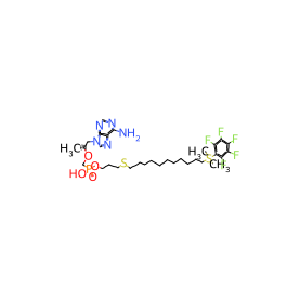 C[C@H](Cn1cnc2c(N)ncnc21)OCP(=O)(O)OCCCSCCCCCCCCCCCS(C)(C)c1c(F)c(F)c(F)c(F)c1F